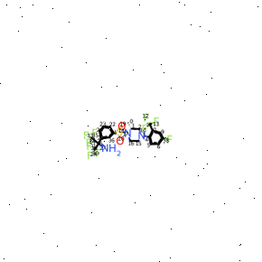 C[C@@H]1CN(c2ccc(F)cc2C(F)(F)F)CCN1S(=O)(=O)c1cccc(C(N)(C(F)(F)F)C(F)(F)F)c1